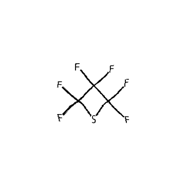 FC1(F)SC(F)(F)C1(F)F